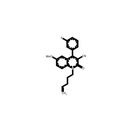 C=CCCCn1c(=O)c(C#N)c(-c2cccc(F)c2)c2cc(OC)ccc21